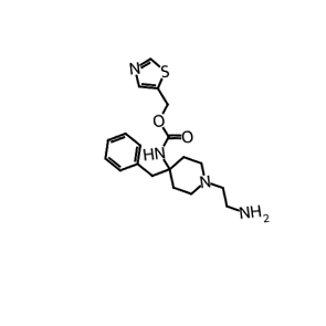 NCCN1CCC(Cc2ccccc2)(NC(=O)OCc2cncs2)CC1